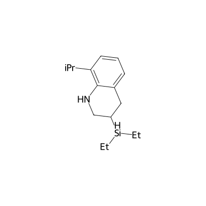 CC[SiH](CC)C1CNc2c(cccc2C(C)C)C1